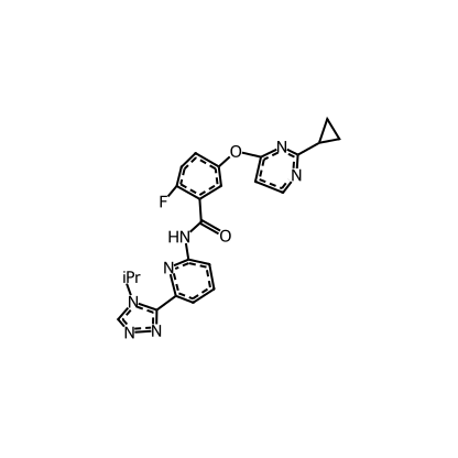 CC(C)n1cnnc1-c1cccc(NC(=O)c2cc(Oc3ccnc(C4CC4)n3)ccc2F)n1